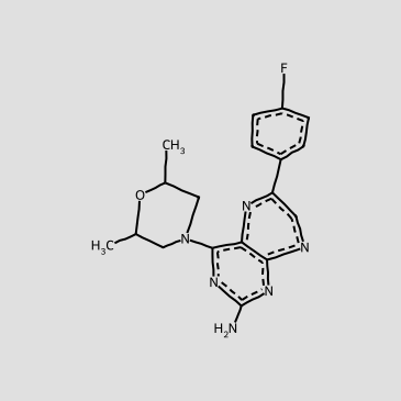 CC1CN(c2nc(N)nc3ncc(-c4ccc(F)cc4)nc23)CC(C)O1